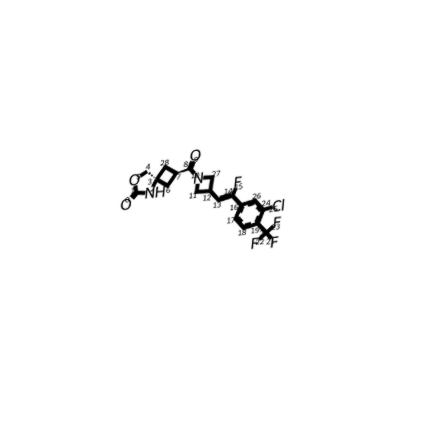 O=C1N[C@]2(CO1)C[C@H](C(=O)N1CC(/C=C(\F)c3ccc(C(F)(F)F)c(Cl)c3)C1)C2